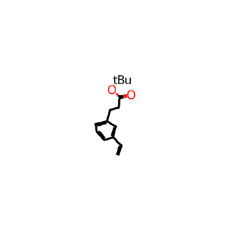 C=Cc1cccc(CCC(=O)OC(C)(C)C)c1